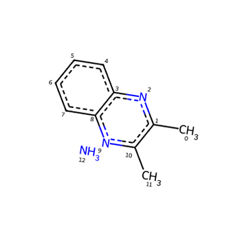 Cc1nc2ccccc2nc1C.N